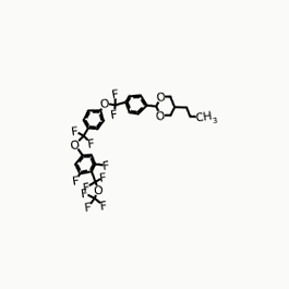 CCCC1COC(c2ccc(C(F)(F)Oc3ccc(C(F)(F)Oc4cc(F)c(C(F)(F)OC(F)(F)F)c(F)c4)cc3)cc2)OC1